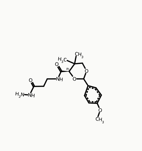 COc1ccc(C2OCC(C)(C)[C@H](C(=O)NCCC(=O)NN)O2)cc1